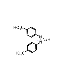 O=C(O)c1ccc(/N=N\c2ccc(C(=O)O)cc2)cc1.[NaH]